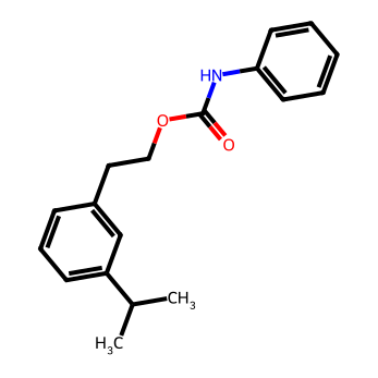 CC(C)c1cccc(CCOC(=O)Nc2ccccc2)c1